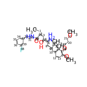 CC[C@H](C[C@H](O)[C@@H](N)C[C@H](Cc1ccc(OC)c(OCCCOC)c1)C(C)C)C(=O)NCCc1cccc(F)c1